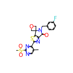 Cc1cnc(S(C)(=O)=O)nc1-c1nc2c(s1)C1(COC1)N(Cc1cccc(F)c1)C2=O